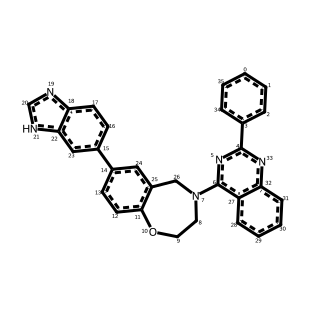 c1ccc(-c2nc(N3CCOc4ccc(-c5ccc6nc[nH]c6c5)cc4C3)c3ccccc3n2)cc1